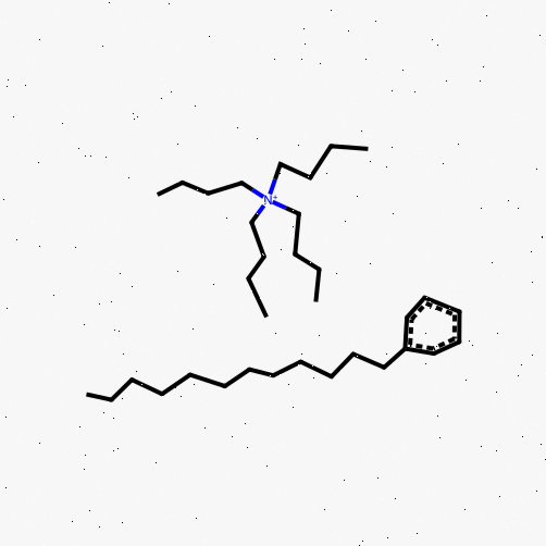 CCCCCCCCCCCCc1ccccc1.CCCC[N+](CCCC)(CCCC)CCCC